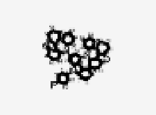 Fc1ccc(-n2c3ccccc3c3c(N(c4ccccc4)c4cccc5oc6ccccc6c45)cc(N(c4ccccc4)c4cccc5oc6ccccc6c45)cc32)cc1